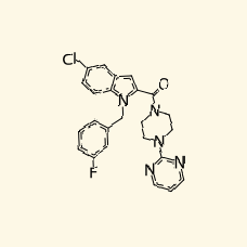 O=C(c1cc2cc(Cl)ccc2n1Cc1cccc(F)c1)N1CCN(c2ncccn2)CC1